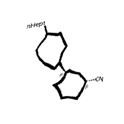 CCCCCCCC1CCC([C@@H]2CCC[C@@H](C#N)C2)CC1